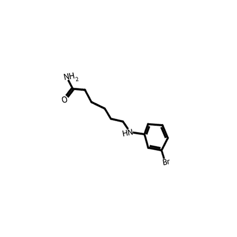 NC(=O)CCCCCNc1cccc(Br)c1